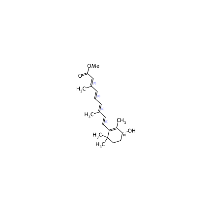 COC(=O)/C=C(C)/C=C/C=C(C)/C=C/C1=C(C)[C@H](O)CCC1(C)C